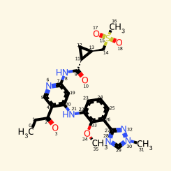 CCC(=O)c1cnc(NC(=O)[C@@H]2C[C@H]2CS(C)(=O)=O)cc1Nc1cccc(-c2ncn(C)n2)c1OC